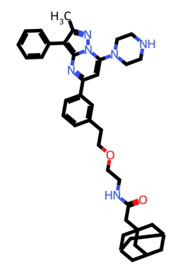 Cc1nn2c(N3CCNCC3)cc(-c3cccc(CCOCCNC(=O)CC45CC6CC(CC(C6)C4)C5)c3)nc2c1-c1ccccc1